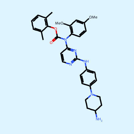 COc1ccc(N(C(=O)Oc2c(C)cccc2C)c2ccnc(Nc3ccc(N4CCC(N)CC4)cc3)n2)c(OC)c1